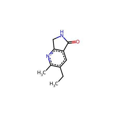 CCc1cc2c(nc1C)CNC2=O